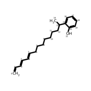 C=CC=CC=CCCCCCCCC(C)c1ccccc1O